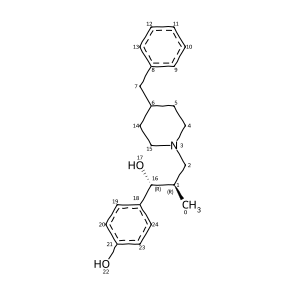 C[C@H](CN1CCC(Cc2ccccc2)CC1)[C@@H](O)c1ccc(O)cc1